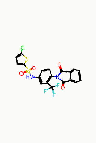 O=C1c2ccccc2C(=O)N1c1ccc(NS(=O)(=O)c2ccc(Cl)s2)cc1C(F)(F)F